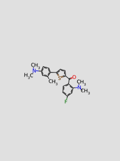 Cc1cc(N(C)C)ccc1-c1ccc(C(=O)c2ccc(F)cc2N(C)C)s1